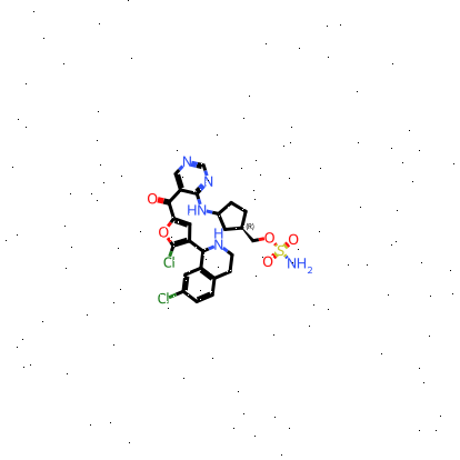 NS(=O)(=O)OC[C@@H]1CCC(Nc2ncncc2C(=O)c2cc(C3NCCc4ccc(Cl)cc43)c(Cl)o2)C1